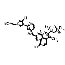 CC(C)c1ccc(N(C)[C@H](N)[C@H](C)CS(C)(=O)=O)c2cnc(Nc3ccnc(-c4cn(CCC#N)nc4Cl)n3)cc12